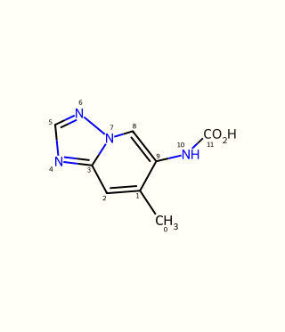 Cc1cc2ncnn2cc1NC(=O)O